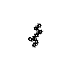 c1ccc2c(c1)oc1c2cc2c3cc4c(cc3n3c5ccc6oc7ccccc7c6c5c1c23)c1cccc2c3c5c(ccc3n4c12)oc1ccccc15